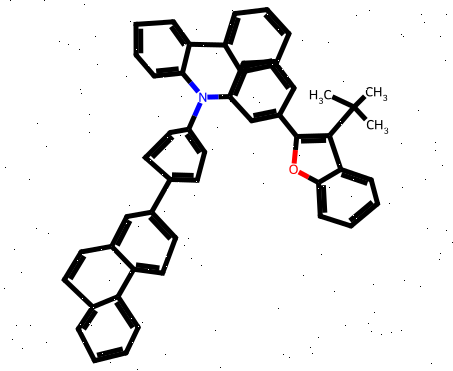 CC(C)(C)c1c(-c2cccc(N(c3ccc(-c4ccc5c(ccc6ccccc65)c4)cc3)c3ccccc3-c3ccccc3)c2)oc2ccccc12